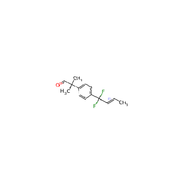 C/C=C/C(F)(F)c1ccc(C(C)(C)C=O)cc1